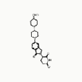 O=CC1CCN(C2CCN(c3ccc4c(c3)CN(C3CCC(=O)NC3=O)C4=O)CC2)CC1